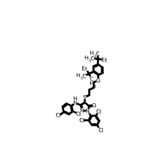 CCC(C)(C)c1ccc(OCCCCSC2C(=O)N(c3c(Cl)cc(Cl)cc3Cl)N=C2Nc2ccc(Cl)cc2Cl)c(C(C)(C)CC)c1